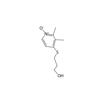 Cc1c(SCCCO)cc[n+]([O-])c1C